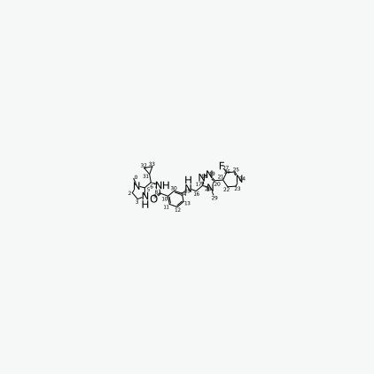 CN1CCNC1[C@H](NC(=O)c1cccc(NCc2nnc(C3CCN=CC3F)n2C)c1)C1CC1